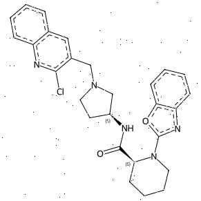 O=C(N[C@H]1CCN(Cc2cc3ccccc3nc2Cl)C1)[C@@H]1CCCCN1c1nc2ccccc2o1